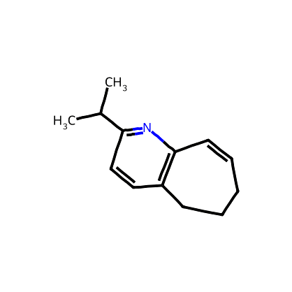 CC(C)c1ccc2c(n1)C=CCCC2